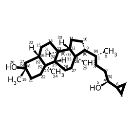 C[C@H](CC[C@H](O)C1CC1)[C@H]1CC[C@H]2[C@@H]3CC[C@H]4C[C@@](C)(O)CC[C@]4(C)[C@H]3CC[C@]12C